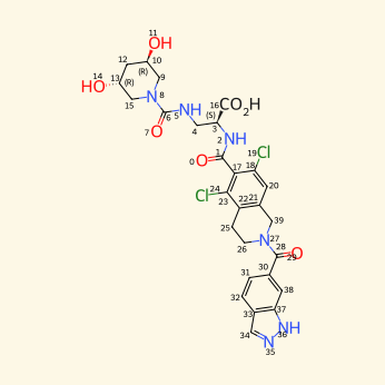 O=C(N[C@@H](CNC(=O)N1C[C@H](O)C[C@@H](O)C1)C(=O)O)c1c(Cl)cc2c(c1Cl)CCN(C(=O)c1ccc3cn[nH]c3c1)C2